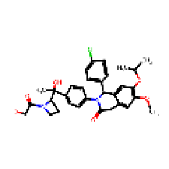 COc1cc2c(cc1OC(C)C)[C@H](c1ccc(Cl)cc1)N(c1ccc(C(C)(O)C3CCN3C(=O)CO)cc1)C(=O)C2